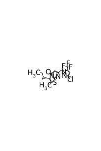 CCC1CC1c1c(C)sc2nc(Cn3nc(Cl)cc3C(F)(F)F)cc(=O)n12